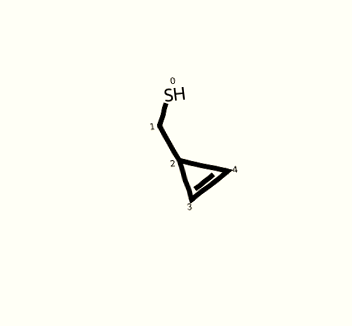 SCC1C=C1